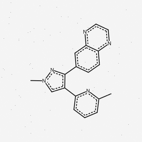 Cc1cccc(-c2cn(C)nc2-c2ccc3nccnc3c2)n1